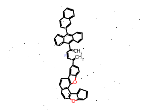 C=C(/C=C\C(=C)c1c2ccccc2c(-c2ccc3ccccc3c2)c2ccccc12)c1ccc2oc3c(ccc4ccc5oc6ccccc6c5c43)c2c1